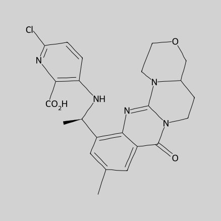 Cc1cc([C@@H](C)Nc2ccc(Cl)nc2C(=O)O)c2nc3n(c(=O)c2c1)CCC1COCCN31